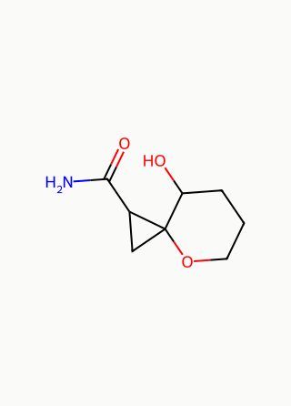 NC(=O)C1CC12OCCCC2O